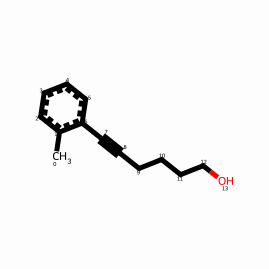 Cc1ccccc1C#CCCCCO